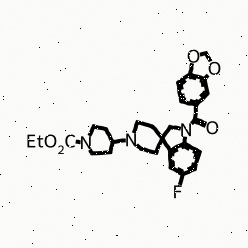 CCOC(=O)N1CCC(N2CCC3(CC2)CN(C(=O)c2ccc4c(c2)OCO4)c2ccc(F)cc23)CC1